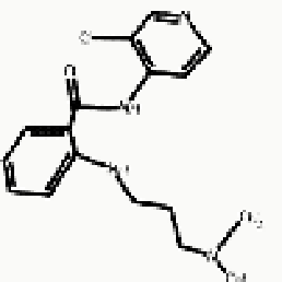 CN(C)CCCNc1ccccc1C(=O)Nc1ccncc1Cl